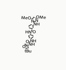 COc1cc(OC)nc(Nc2cccc(C(=O)Nc3ccc(NC(=O)Nc4cc(C(C)(C)C)on4)cc3)c2)n1